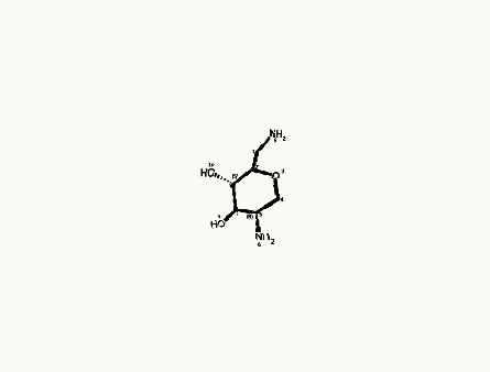 NCC1OC[C@@H](N)C(O)[C@@H]1O